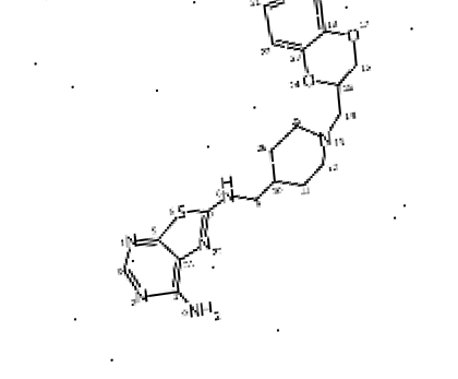 Nc1ncnc2sc(NCC3CCN(CC4COc5ccccc5O4)CC3)nc12